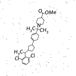 COC(=O)C1CCN(C(C)(C)C2=CC=C(C3CCC(C(C)c4c(Cl)cccc4Cl)C3)CC2)CC1